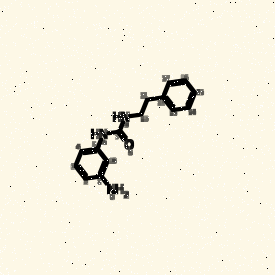 Nc1cccc(NC(=O)NCCc2ccccc2)c1